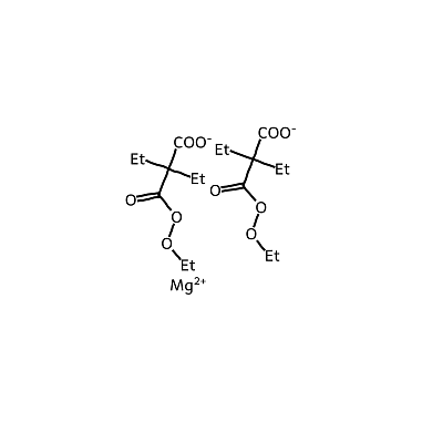 CCOOC(=O)C(CC)(CC)C(=O)[O-].CCOOC(=O)C(CC)(CC)C(=O)[O-].[Mg+2]